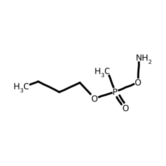 CCCCOP(C)(=O)ON